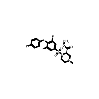 CN1CCN(S(=O)(=O)c2cc(F)c(Oc3ccc(F)cc3)c(F)c2)[C@@H](C(=O)ON)C1